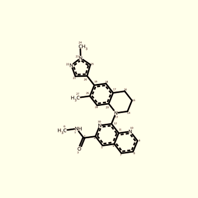 CNC(=O)c1cc2cccnc2c(N2CCCc3cc(-c4cnn(C)c4)c(C)cc32)n1